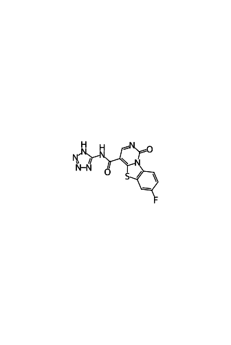 O=C(Nc1nnn[nH]1)c1cnc(=O)n2c1sc1cc(F)ccc12